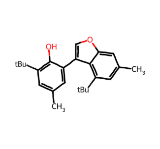 Cc1cc(-c2coc3cc(C)cc(C(C)(C)C)c23)c(O)c(C(C)(C)C)c1